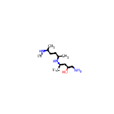 CC(C)NC(C)CCC(C)NC(C)CC(O)CN